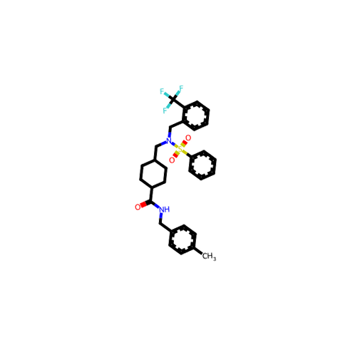 Cc1ccc(CNC(=O)C2CCC(CN(Cc3ccccc3C(F)(F)F)S(=O)(=O)c3ccccc3)CC2)cc1